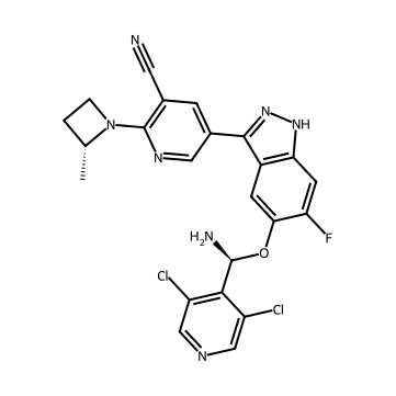 C[C@@H]1CCN1c1ncc(-c2n[nH]c3cc(F)c(O[C@H](N)c4c(Cl)cncc4Cl)cc23)cc1C#N